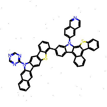 c1ccc2cc3c(cc2c1)c1cc2sc4c(-c5ccc6c7c8ccccc8c8c9ccccc9sc8c7n(-c7ccc8cnccc8c7)c6c5)cccc4c2cc1n3-c1ncncn1